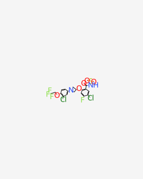 CS(=O)(=O)NC(=O)c1cc(Cl)c(F)cc1OC1CN(c2ccc(OCC(F)(F)F)c(Cl)c2)C1